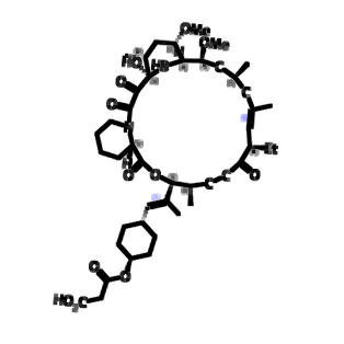 CC[C@@H]1/C=C(\C)C[C@H](C)C[C@H](OC)[C@H]2B[C@@](O)(C(=O)C(=O)N3CCCC[C@H]3C(=O)O[C@H](/C(C)=C/[C@H]3CC[C@H](OC(=O)CC(=O)O)CC3)[C@H](C)CCC1=O)[C@H](C)C[C@@H]2OC